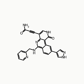 NC(=O)C#Cc1c[nH]c(=O)c2c1nc(NCc1ccccn1)c1ccc(-c3cn[nH]c3)cc12